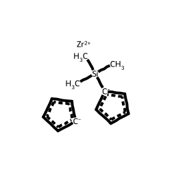 C[Si](C)(C)[c-]1cccc1.[Zr+2].c1cc[cH-]c1